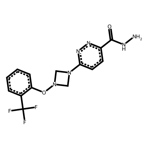 NNC(=O)c1ccc(N2CN(Oc3ccccc3C(F)(F)F)C2)nn1